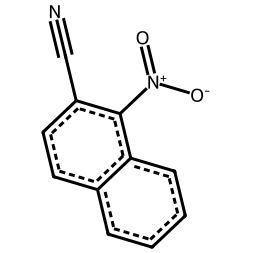 N#Cc1ccc2ccccc2c1[N+](=O)[O-]